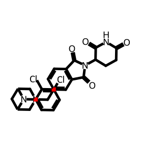 O=C1CCC(N2C(=O)c3ccc(CN4CC5CC(C4)N5c4cccc(Cl)c4Cl)cc3C2=O)C(=O)N1